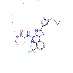 O=C1NCCCC[C@H]1Nc1nc2c(C(F)(F)F)cccc2c2nc(-c3cnn(CC4CC4)c3)nn12